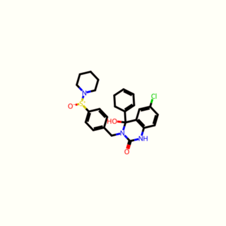 O=C1Nc2ccc(Cl)cc2C(O)(C2=CC=CCC2)N1Cc1ccc([S+]([O-])N2CCCCC2)cc1